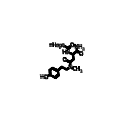 CCCCCCCC(=O)NC(CC(=O)N(C)CCc1ccc(O)cc1)C(N)=O